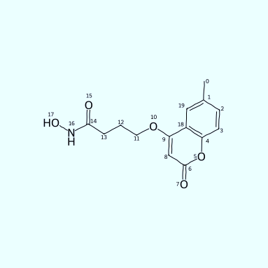 Cc1ccc2oc(=O)cc(OCCCC(=O)NO)c2c1